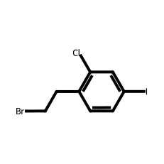 Clc1cc(I)ccc1CCBr